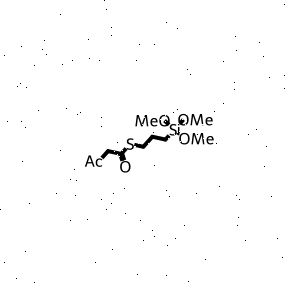 CO[Si](CCCSC(=O)CC(C)=O)(OC)OC